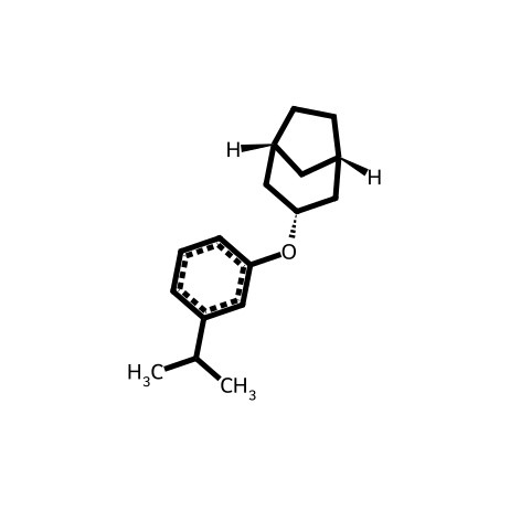 CC(C)c1cccc(O[C@@H]2C[C@@H]3CC[C@@H](C3)C2)c1